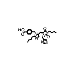 CCCCc1ncc(C=C2C(=O)N(CCCC)C(=O)N2Cc2cscn2)n1Cc1ccc(C(=O)O)cc1